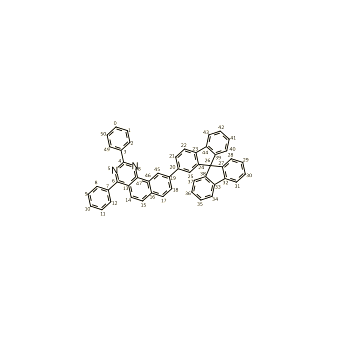 c1ccc(-c2nc(-c3ccccc3)c3ccc4ccc(-c5ccc6c(c5)C5(c7ccccc7-c7ccccc75)c5ccccc5-6)cc4c3n2)cc1